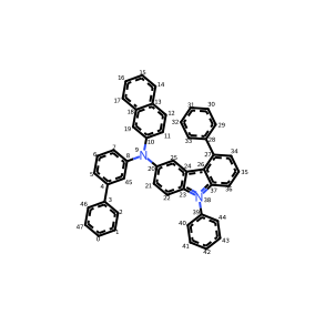 c1ccc(-c2cccc(N(c3ccc4ccccc4c3)c3ccc4c(c3)c3c(-c5ccccc5)cccc3n4-c3ccccc3)c2)cc1